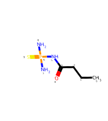 CCCC(=O)NP(N)(N)=S